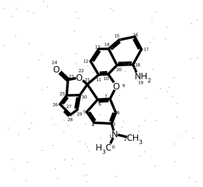 CN(C)c1ccc2c(c1)Oc1c(ccc3cccc(N)c13)C21OC(=O)c2ccccc21